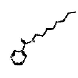 CCCCCCCCNC(=O)c1cccnc1